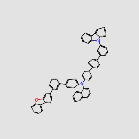 c1cc(-c2ccc(N(c3ccc(-c4ccc(-c5cccc(-n6c7ccccc7c7ccccc76)c5)cc4)cc3)c3cccc4ccccc34)cc2)cc(-c2ccc3c(c2)oc2ccccc23)c1